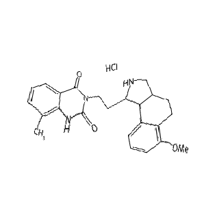 COc1cccc2c1CCC1CNC(CCn3c(=O)[nH]c4c(C)cccc4c3=O)C21.Cl